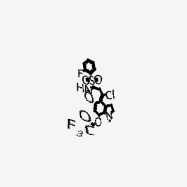 CN1CCC2=C1C(OC(=O)C(F)(F)F)C=C1ONC(S(=O)(=O)c3ccccc3F)CC(Cl)=C12